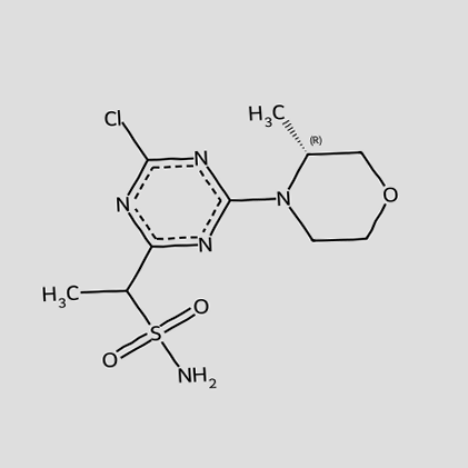 CC(c1nc(Cl)nc(N2CCOC[C@H]2C)n1)S(N)(=O)=O